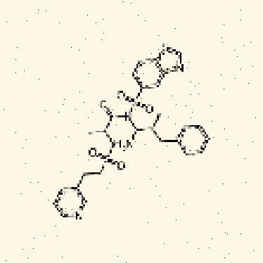 CC(CS(=O)(=O)CCc1cccnc1)C(=O)N([C@H](N)[C@@H](C)Cc1ccccc1)S(=O)(=O)c1ccc2scnc2c1